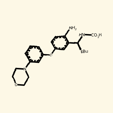 CC(C)(C)C(NC(=O)O)c1cc(Oc2cccc(N3CCOCC3)c2)ccc1N